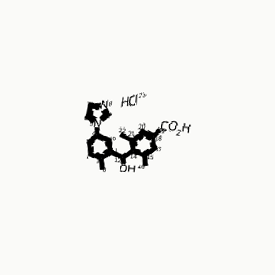 Cc1ccc(-n2ccnc2)cc1C(O)c1c(C)cc(C(=O)O)cc1C.Cl